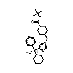 CC(C)(C)OC(=O)N1CCC(Cn2cnc([C@](O)(c3ccccc3)C3CCCCC3)n2)CC1